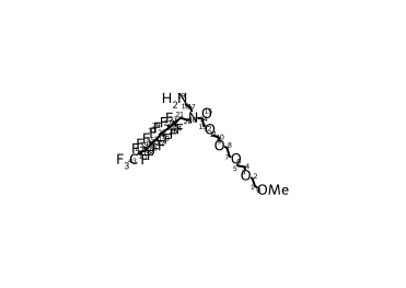 COCCOCCOCCOCCOCC(=O)N(CCN)CCC(F)(F)C(F)(F)C(F)(F)C(F)(F)C(F)(F)C(F)(F)C(F)(F)C(F)(F)F